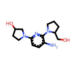 Nc1ccc(N2CCC(O)C2)nc1N1CCCC1CO